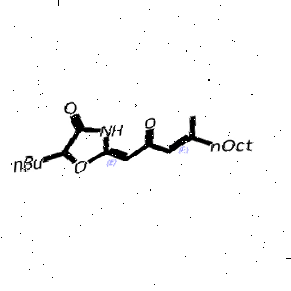 CCCCCCCC/C(C)=C/C(=O)/C=C1\NC(=O)C(CCCC)O1